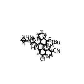 CC(C)(C)CNc1c(C#N)cnc2c(Cl)cc(N[C@H](C3=CN(C45CC(C4)C5)NN3)c3ccc(F)c4ncccc34)cc12